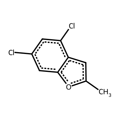 Cc1cc2c(Cl)cc(Cl)cc2o1